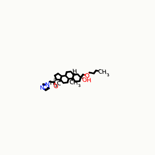 CCCCOC[C@@]1(O)CC[C@]2(C)C3CC[C@@]4(C)C(CC[C@@H]4C(=O)Cn4ccnc4)C3CC[C@H]2C1